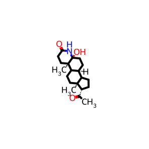 CC(=O)[C@H]1CCC2[C@@H]3CCC4(O)NC(=O)CC[C@]4(C)C3CC[C@@]21C